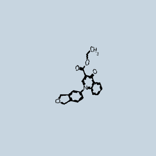 CCOC(=O)c1cn(-c2ccc3c(c2)COC3)c2ccccc2c1=O